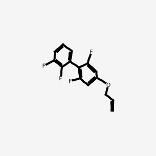 C=CCOc1cc(F)c(-c2cc[c]c(F)c2F)c(F)c1